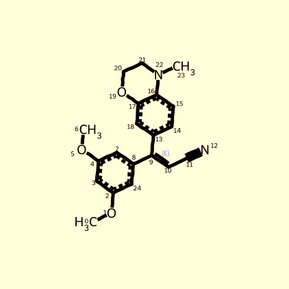 COc1cc(OC)cc(/C(=C/C#N)c2ccc3c(c2)OCCN3C)c1